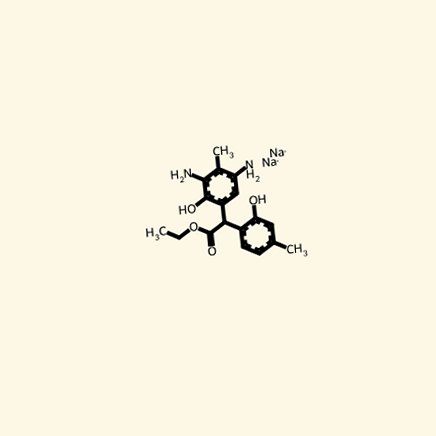 CCOC(=O)C(c1ccc(C)cc1O)c1cc(N)c(C)c(N)c1O.[Na].[Na]